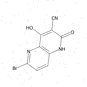 N#Cc1c(O)c2nc(Br)ccc2[nH]c1=O